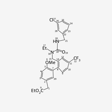 CCOC(=O)Cc1ccc(OC)c(-c2ccc(C(F)(F)F)cc2CN(CC)C(=O)NCc2cccc(Cl)c2)c1